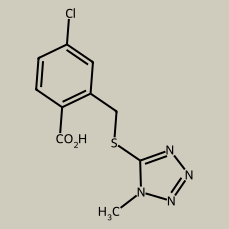 Cn1nnnc1SCc1cc(Cl)ccc1C(=O)O